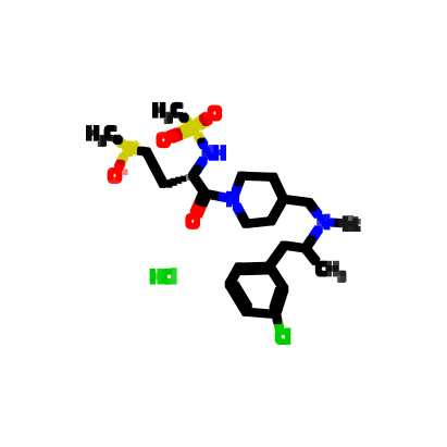 CCN(CC1CCN(C(=O)[C@H](CC[S+](C)[O-])NS(C)(=O)=O)CC1)C(C)Cc1cccc(Cl)c1.Cl